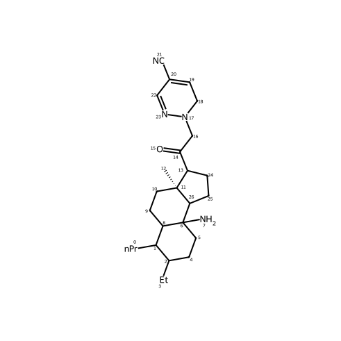 CCCC1C(CC)CCC2(N)C1CC[C@@]1(C)C(C(=O)CN3CC=C(C#N)C=N3)CCC21